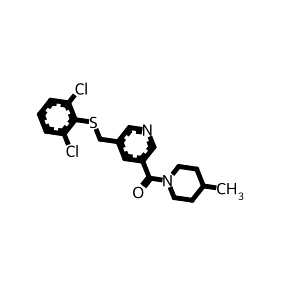 CC1CCN(C(=O)c2cncc(CSc3c(Cl)cccc3Cl)c2)CC1